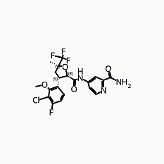 COc1c([C@@H]2C[C@@](C)(C(F)(F)F)O[C@H]2C(=O)Nc2ccnc(C(N)=O)c2)ccc(F)c1Cl